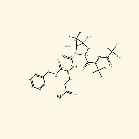 CC(C)(C)[C@H](NC(=O)C(F)(F)F)C(=O)N1C[C@H]2[C@@H]([C@H]1C(=O)NN(CCC(N)=O)C(=O)OCc1ccccc1)C2(C)C